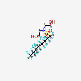 O=S(=O)(N(CCO)CCO)C(F)(F)C(F)(F)C(F)(F)C(F)(F)C(F)(F)C(F)(F)C(F)(F)C(F)(F)F